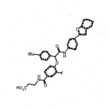 CC(C)(C)c1ccc(C(Oc2ccc(C(=O)NCCS(=O)(=O)O)cc2F)C(=O)Nc2ccc(-c3cc4ccccc4o3)cc2)cc1